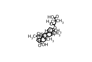 C=C(C)[C@@H]1CC[C@]2(C(=O)O)CC[C@]3(C)[C@H](CC[C@@H]4[C@@]5(C)CCC(OC(=O)CC(C)(C)C(=O)O)C(C)(C)[C@@H]5CC[C@]43C)[C@@H]12